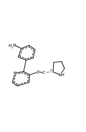 Nc1cccc(-c2ncccc2OC[C@@H]2CCCN2)c1